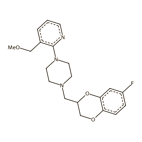 COCc1cccnc1N1CCN(CC2COc3ccc(F)cc3O2)CC1